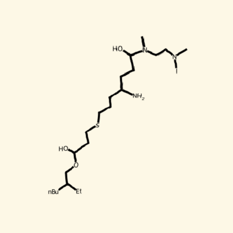 CCCCC(CC)COC(O)CCSCCCC(N)CCC(O)N(C)CCN(C)I